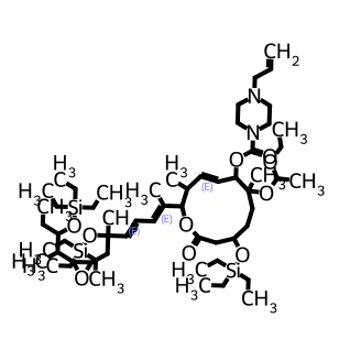 C=CCN1CCN(C(=O)OC2/C=C/C(C)C(/C(C)=C/C=C/C(C)(CC3OC3C(C)C(CC)O[Si](CC)(CC)CC)O[Si](CC)(CC)CC)OC(=O)CC(O[Si](CC)(CC)CC)CCC2(C)OC(C)OCC)CC1